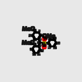 COc1cc(OC)c(C(c2ccccc2)S(=O)(=O)c2ccccc2)c(OC)c1